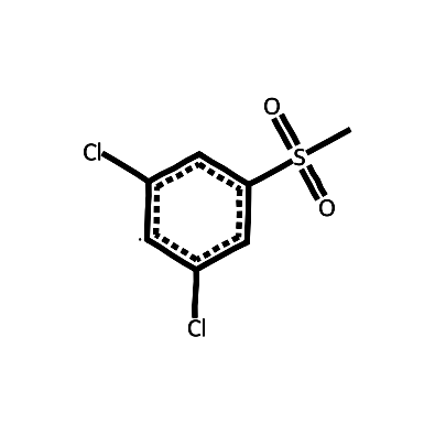 CS(=O)(=O)c1cc(Cl)[c]c(Cl)c1